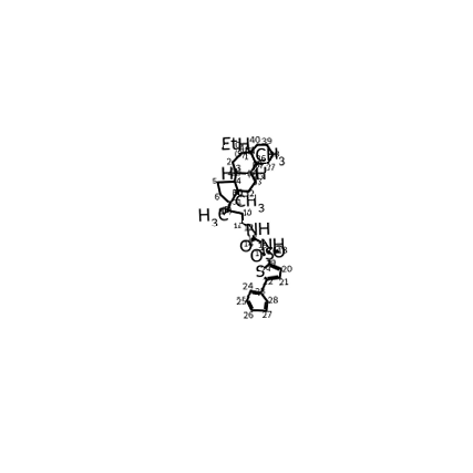 CC[C@H]1C[C@H]2C3CCC([C@H](C)CCNC(=O)NS(=O)(=O)c4ccc(-c5ccccc5)s4)[C@@]3(C)CC[C@@H]2[C@@]2(C)CCCC[C@@H]12